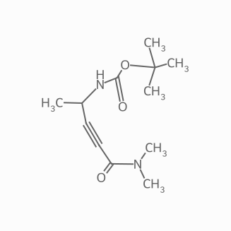 CC(C#CC(=O)N(C)C)NC(=O)OC(C)(C)C